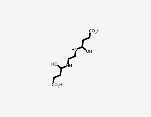 O=C(O)CCC(O)NCCNC(O)CCC(=O)O